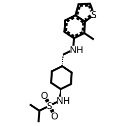 Cc1c(NC[C@H]2CC[C@H](NS(=O)(=O)C(C)C)CC2)ccc2ccsc12